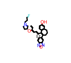 C=C/C(=C\C=C(/CC)C1=C(c2ccc3nonc3c2)CCCc2cc(O)ccc21)O[C@H]1CCN(CCCF)C1